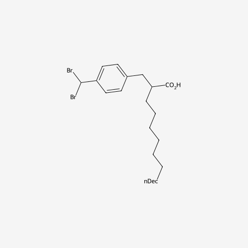 CCCCCCCCCCCCCCCCC(Cc1ccc(C(Br)Br)cc1)C(=O)O